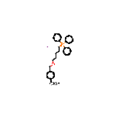 COc1ccc(COCCCCC[P+](c2ccccc2)(c2ccccc2)c2ccccc2)cc1.[I-]